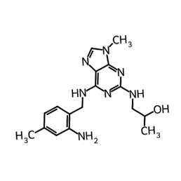 Cc1ccc(CNc2nc(NCC(C)O)nc3c2ncn3C)c(N)c1